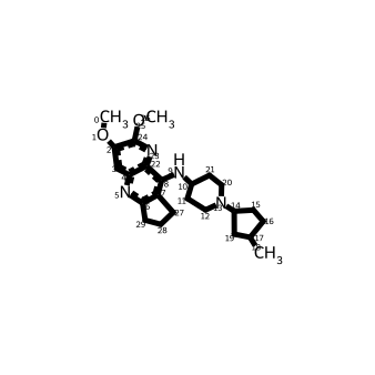 COc1cc2nc3c(c(NC4CCN(C5CCC(C)C5)CC4)c2nc1OC)CCC3